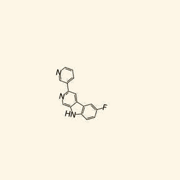 Fc1ccc2[nH]c3cnc(-c4cccnc4)cc3c2c1